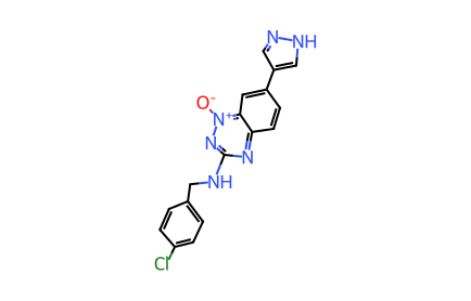 [O-][n+]1nc(NCc2ccc(Cl)cc2)nc2ccc(-c3cn[nH]c3)cc21